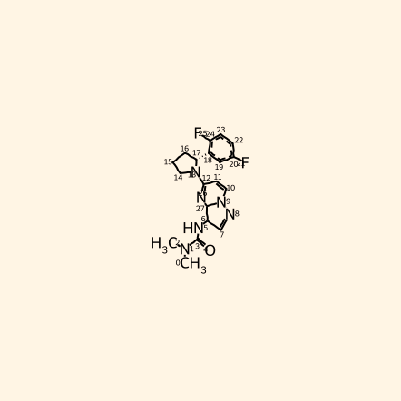 CN(C)C(=O)NC1C=NN2C=CC(N3CCC[C@@H]3c3cc(F)ccc3F)=NC12